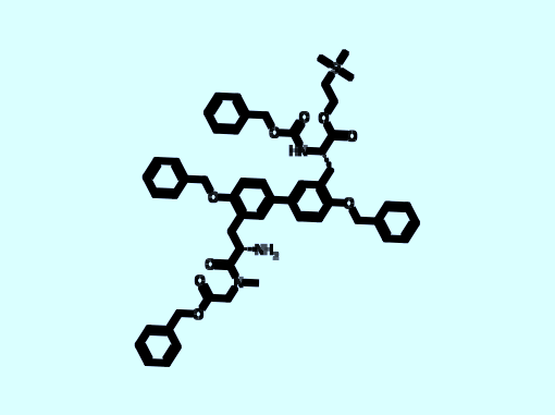 CN(CC(=O)OCc1ccccc1)C(=O)[C@@H](N)Cc1cc(-c2ccc(OCc3ccccc3)c(C[C@H](NC(=O)OCc3ccccc3)C(=O)OCC[Si](C)(C)C)c2)ccc1OCc1ccccc1